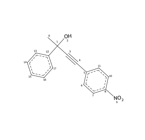 CC(O)(C#Cc1ccc([N+](=O)[O-])cc1)c1ccccc1